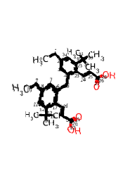 CCc1cc(Cc2cc(CC)cc(C(C)(C)C)c2C=CC(=O)O)c(C=CC(=O)O)c(C(C)(C)C)c1